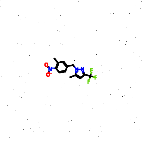 Cc1cc(Cn2nc(C(F)(F)F)cc2C)ccc1[N+](=O)[O-]